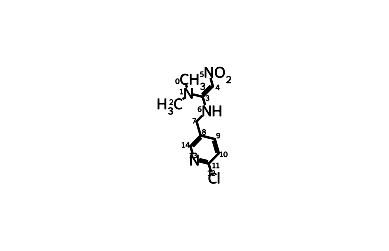 CN(C)C(=C[N+](=O)[O-])NCc1ccc(Cl)nc1